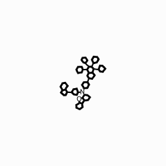 c1ccc(-c2c(-c3ccccc3)c(-c3ccccc3)c3cc(-c4ccc(N(c5ccc(-c6cccc7ccccc67)cc5)c5cccc6c5oc5ccccc56)cc4)ccc3c2-c2ccccc2)cc1